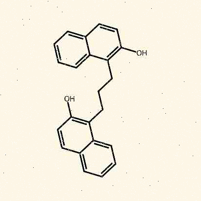 Oc1ccc2ccccc2c1CCCc1c(O)ccc2ccccc12